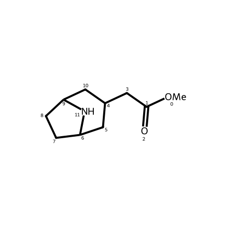 COC(=O)CC1CC2CCC(C1)N2